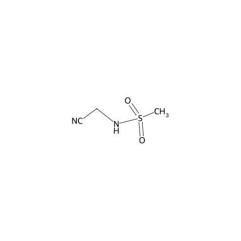 CS(=O)(=O)NCC#N